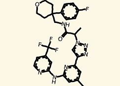 Cc1cc(Nc2cc(C(F)(F)F)ccn2)nc(-c2cn(C(C)C(=O)NCC3(c4ccc(F)cc4)CCOCC3)nn2)c1